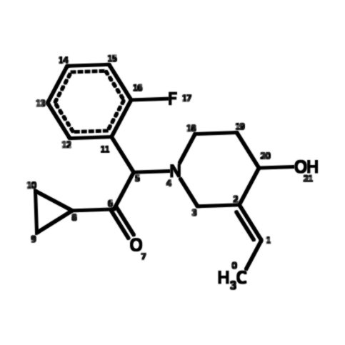 CC=C1CN(C(C(=O)C2CC2)c2ccccc2F)CCC1O